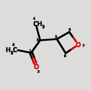 CC(=O)C(C)C1COC1